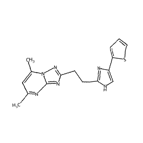 Cc1cc(C)n2nc(CCc3nc(-c4cccs4)c[nH]3)nc2n1